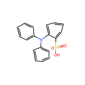 O=S(=O)(O)c1ccccc1N(c1ccccc1)c1ccccc1